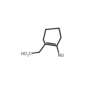 O=NC1=C(CC(=O)O)CCCC1